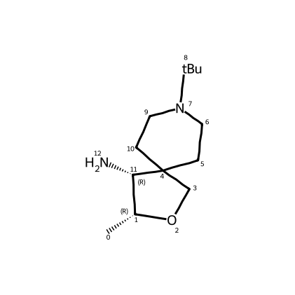 C[C@H]1OCC2(CCN(C(C)(C)C)CC2)[C@H]1N